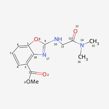 COC(=O)c1cccc2oc(NCC(=O)N(C)C)nc12